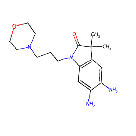 CC1(C)C(=O)N(CCCN2CCOCC2)c2cc(N)c(N)cc21